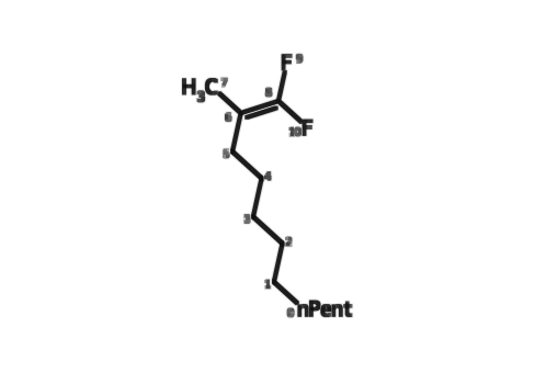 CCCCCCCCCCC(C)=C(F)F